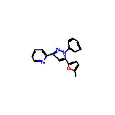 Cc1ccc(-c2cc(-c3ccccn3)nn2-c2ccccc2)o1